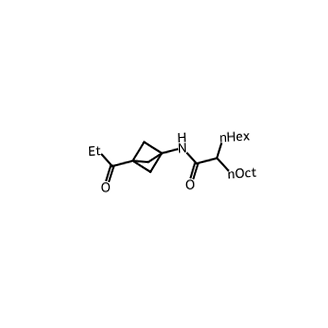 CCCCCCCCC(CCCCCC)C(=O)NC12CC(C(=O)CC)(C1)C2